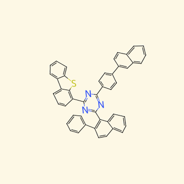 c1ccc(-c2ccc3ccccc3c2-c2nc(-c3ccc(-c4ccc5ccccc5c4)cc3)nc(-c3cccc4c3sc3ccccc34)n2)cc1